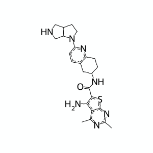 Cc1nc(C)c2c(N)c(C(=O)NC3CCc4nc(N5CCC6CNCC65)ccc4C3)sc2n1